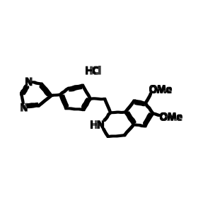 COc1cc2c(cc1OC)C(Cc1ccc(-c3cncnc3)cc1)NCC2.Cl